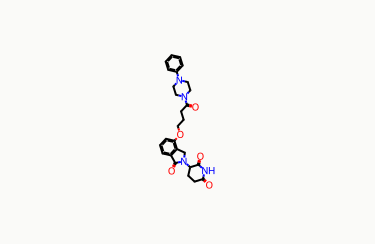 O=C1CCC(N2Cc3c(OCCCC(=O)N4CCN(c5ccccc5)CC4)cccc3C2=O)C(=O)N1